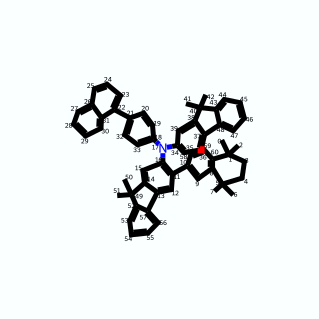 CC1(C)CCC(C)(C)c2cc(-c3cc4c(cc3N(c3ccc(-c5cccc6ccccc56)cc3)c3ccc5c(c3)C(C)(C)c3ccccc3-5)C(C)(C)c3ccccc3-4)ccc21